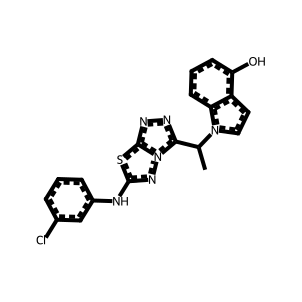 CC(c1nnc2sc(Nc3cccc(Cl)c3)nn12)n1ccc2c(O)cccc21